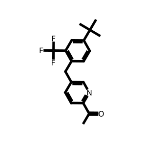 CC(=O)c1ccc(Cc2ccc(C(C)(C)C)cc2C(F)(F)F)cn1